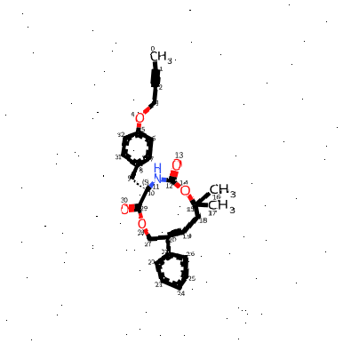 CC#CCOc1ccc(C[C@@H]2NC(=O)OC(C)(C)CC=C(c3ccccc3)COC2=O)cc1